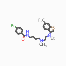 CCN(CCN(C)CCCCNC(=O)c1ccc(Br)cc1)c1csc2cc(C(F)(F)F)ccc12